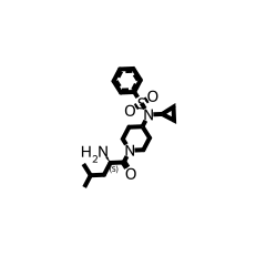 CC(C)C[C@H](N)C(=O)N1CCC(N(C2CC2)S(=O)(=O)c2ccccc2)CC1